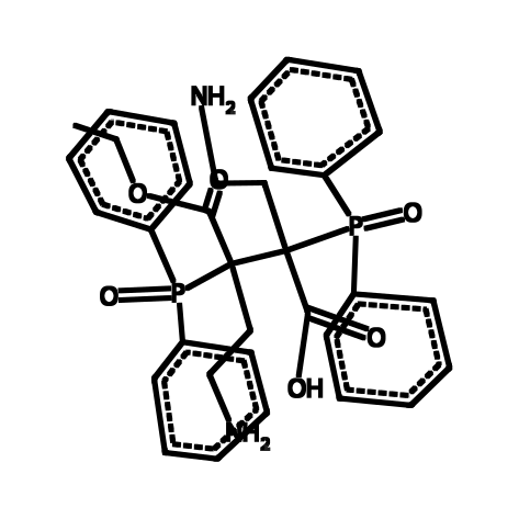 CCOC(=O)C(CCN)(C(CCN)(C(=O)O)P(=O)(c1ccccc1)c1ccccc1)P(=O)(c1ccccc1)c1ccccc1